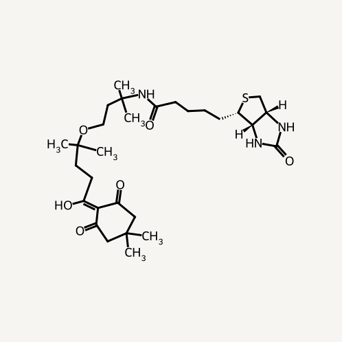 CC1(C)CC(=O)C(=C(O)CCC(C)(C)OCCC(C)(C)NC(=O)CCCC[C@@H]2SC[C@@H]3NC(=O)N[C@@H]32)C(=O)C1